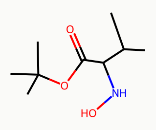 CC(C)C(NO)C(=O)OC(C)(C)C